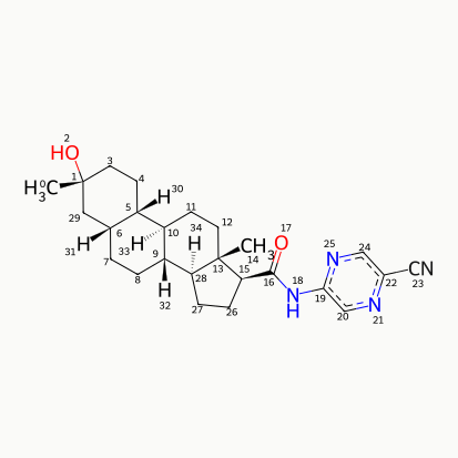 C[C@@]1(O)CC[C@H]2[C@H](CC[C@@H]3[C@@H]2CC[C@]2(C)[C@@H](C(=O)Nc4cnc(C#N)cn4)CC[C@@H]32)C1